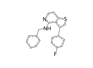 Fc1ccc(-c2csc3ccnc(NCc4ccccc4)c23)cc1